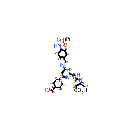 CCCS(=O)(=O)Nc1ccc(CNc2cc(N3CCC(CO)CC3)nc(Nc3nc(C)c(C(=O)O)s3)n2)cc1